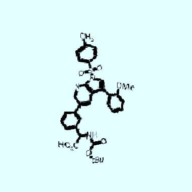 COc1ccccc1-c1cn(S(=O)(=O)c2ccc(C)cc2)c2ncc(-c3cccc(C(NC(=O)OC(C)(C)C)C(=O)O)c3)cc12